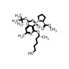 COC(=O)[C@@H]1CCCN1[S@@](=O)(=NC(=O)OC(C)(C)C)c1ccc(C)nc1O[C@H](C)CCCCO